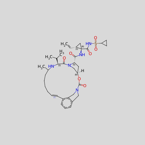 C=C[C@@H]1C[C@]1(NC(=O)[C@@H]1C[C@@H]2CN1C(=O)[C@H](C(C)C)NC(C)CCCC/C=C/c1cccc3c1CN(C3)C(=O)O2)C(=O)NS(=O)(=O)C1CC1